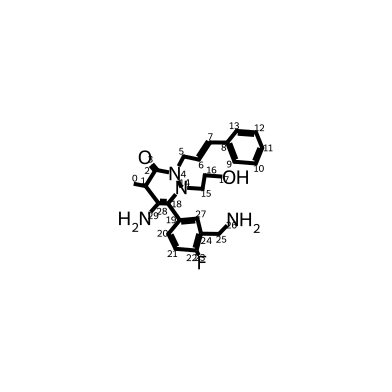 CC1C(=O)N(CC=Cc2ccccc2)N(CCO)C(c2ccc(F)c(CN)c2)=C1N